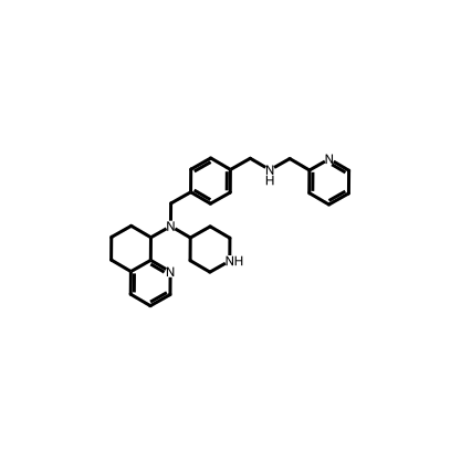 c1ccc(CNCc2ccc(CN(C3CCNCC3)C3CCCc4cccnc43)cc2)nc1